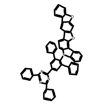 c1ccc(-c2nc(-c3ccccc3)nc(-c3cc(-c4ccccc4)c(-n4c5ccccc5c5c6oc7cc8oc9ccccc9c8cc7c6ccc54)c(-c4ccccc4)c3)n2)cc1